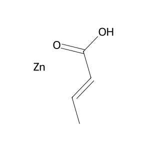 CC=CC(=O)O.[Zn]